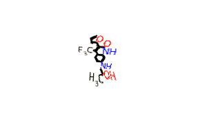 C[C@H](O)CNc1ccc2c(C(F)(F)F)c(-c3ccco3)c(=O)[nH]c2c1